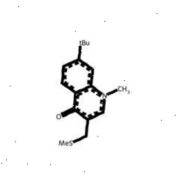 CSCc1cn(C)c2cc(C(C)(C)C)ccc2c1=O